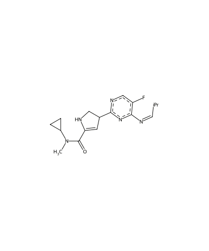 CC(C)/C=N\c1nc(C2C=C(C(=O)N(C)C3CC3)NC2)ncc1F